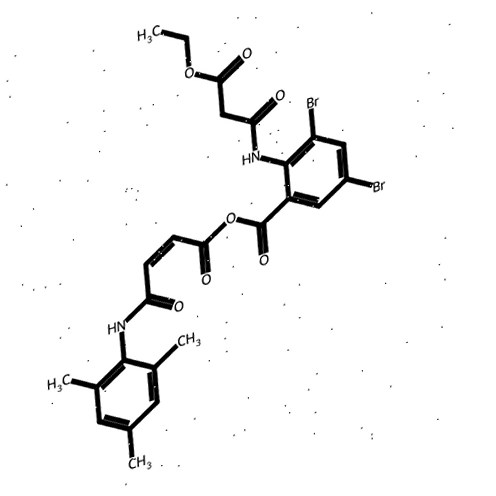 CCOC(=O)CC(=O)Nc1c(Br)cc(Br)cc1C(=O)OC(=O)/C=C\C(=O)Nc1c(C)cc(C)cc1C